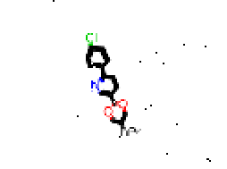 CCCC1COC(c2ccc(-c3ccc(Cl)cc3)nc2)OC1